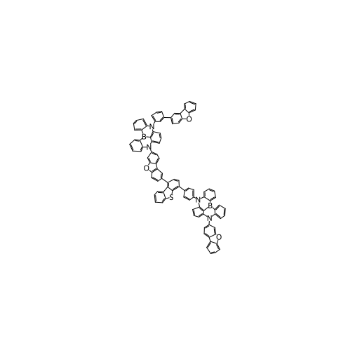 c1cc(-c2ccc3oc4ccccc4c3c2)cc(N2c3ccccc3B3c4ccccc4N(c4ccc5c(c4)oc4ccc(-c6ccc(-c7ccc(N8c9ccccc9B9c%10ccccc%10N(c%10ccc%11c(c%10)oc%10ccccc%10%11)c%10cccc8c%109)cc7)c7sc8ccccc8c67)cc45)c4cccc2c43)c1